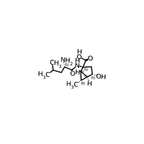 CC(C)C[C@H](N)C(=O)N[C@@]1(C(=O)O)C[C@H](O)[C@H]2[C@H](C)[C@H]21